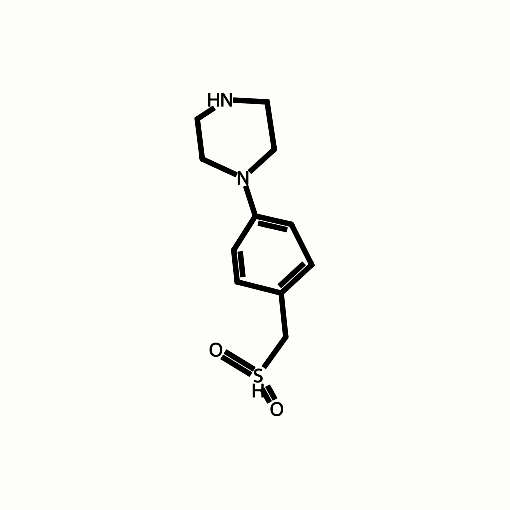 O=[SH](=O)Cc1ccc(N2CCNCC2)cc1